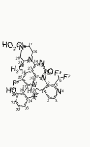 Cc1ccnc(C(F)F)c1-n1c(=O)nc(N2CCN(C(=O)O)C[C@@H]2C)c2cc(F)c(-c3c(O)cccc3F)nc21